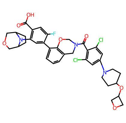 O=C(O)c1cc(F)c(-c2cccc3c2OCN(C(=O)c2c(Cl)cc(N4CCC(OC5COC5)CC4)cc2Cl)C3)cc1N1C2CCC1COC2